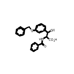 O=C(NC(C(=O)O)C(O)c1cccc(OCc2ccccc2)c1)c1ccccc1